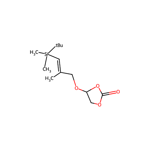 C/C(=C\[Si](C)(C)C(C)(C)C)COC1COC(=O)O1